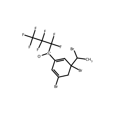 CC(Br)C1(Br)[CH]C(Br)=CC([S+]([O-])C(F)(F)C(F)(F)C(F)(F)F)=C1